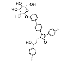 O=C1[C@H](CC[C@H](O)c2ccc(F)cc2)[C@@H](c2ccc(-c3cccc(O[C@H]4O[C@@H](CO)[C@H](O)[C@@H](O)[C@@H]4O)c3)cc2)N1c1ccc(F)cc1